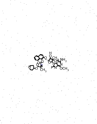 COc1nc(N)nc2c1nc(I)n2C1O[C@H](COc2ccc3ccccc3c2O/[P+]([O-])=N/[C@@H](C)C(=O)OC2CCOCC2)[C@@H](O)[C@@]1(C)O